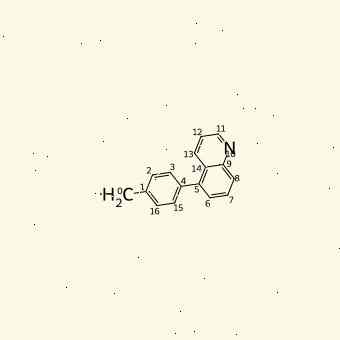 [CH2]c1ccc(-c2cccc3ncccc23)cc1